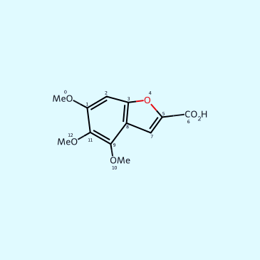 COc1cc2oc(C(=O)O)cc2c(OC)c1OC